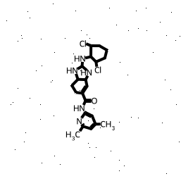 Cc1cc(C)nc(NC(=O)C2=CC3NC(NC4C(Cl)CCCC4Cl)NC3CC2)c1